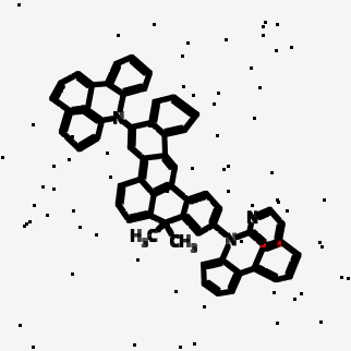 CC1(C)c2cc(N(c3ccccn3)c3ccccc3-c3ccccc3)ccc2-c2cc3c4ccccc4c(N(c4ccccc4)c4ccccc4-c4ccccc4)cc3c3cccc1c23